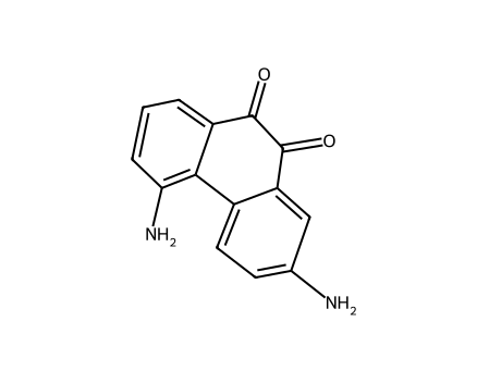 Nc1ccc2c(c1)C(=O)C(=O)c1cccc(N)c1-2